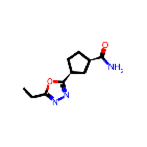 CCc1nnc([C@H]2CC[C@@H](C(N)=O)C2)o1